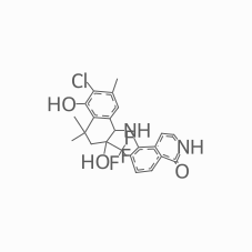 Cc1cc2c(c(O)c1Cl)C(C)(C)CC(O)(C(F)(F)F)C2Nc1cccc2c(=O)[nH]ccc12